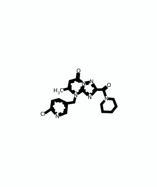 Cc1cc(=O)n2nc(C(=O)N3CCCCC3)nc2n1Cc1ccc(Cl)nc1